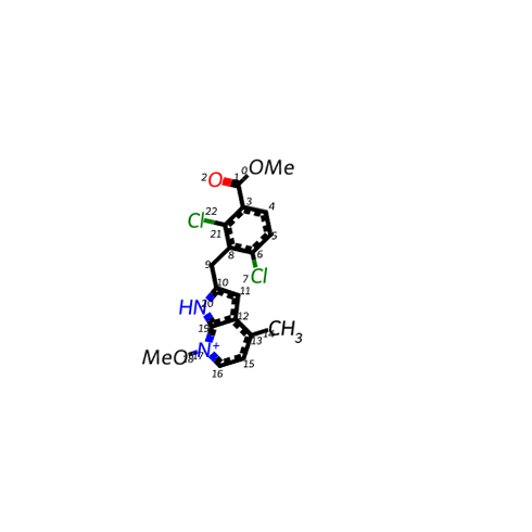 COC(=O)c1ccc(Cl)c(Cc2cc3c(C)cc[n+](OC)c3[nH]2)c1Cl